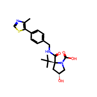 Cc1ncsc1-c1ccc(CNC(=O)[C@@]2(C(C)(C)C)C[C@@H](O)CN2C(=O)O)cc1